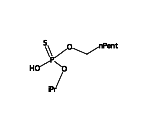 CCCCCCOP(O)(=S)OC(C)C